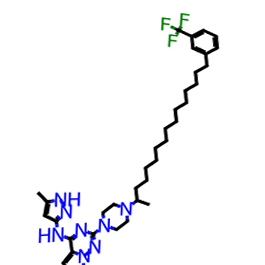 Cc1cc(Nc2nc(N3CCN(C(C)CCCCCCCCCCCCCCc4cccc(C(F)(F)F)c4)CC3)nn3cccc23)n[nH]1